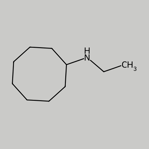 CCNC1CCCCCCC1